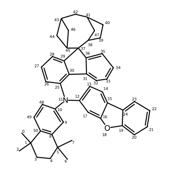 CC1(C)CCC(C)(C)c2cc(N(c3ccc4c(c3)oc3ccccc34)c3cccc4c3-c3ccccc3C43C4CCC(CC5CC3C5)C4)ccc21